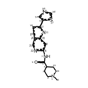 CN1CCC(C(=O)Nc2cc3nc(-c4cncs4)ccc3cn2)CC1